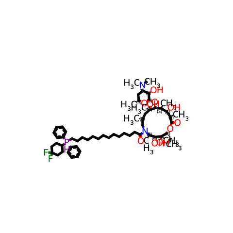 CC[C@H]1OC(=O)[C@H](C)[C@@H](O)[C@H](C)[C@@H](O[C@@H]2O[C@H](C)C[C@H](N(C)C)[C@H]2O)[C@](C)(O)C[C@@H](C)CN(C(=O)CCCCCCCCCCCCC[PH](c2ccccc2)(c2ccccc2)C2CCC(F)(F)CC2)[C@H](C)[C@@H](O)[C@]1(C)O